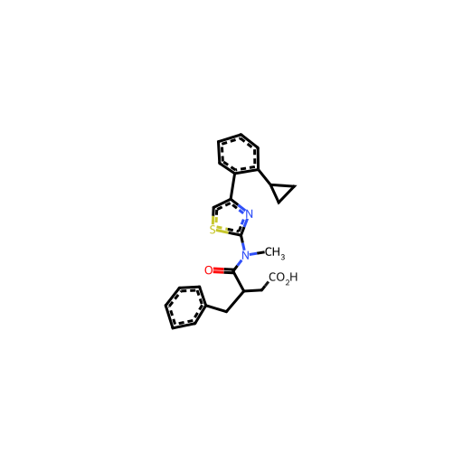 CN(C(=O)C(CC(=O)O)Cc1ccccc1)c1nc(-c2ccccc2C2CC2)cs1